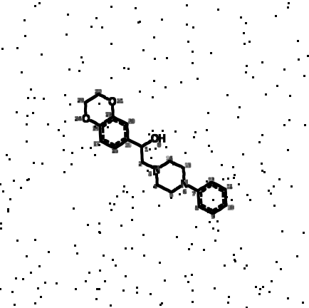 OC(CN1CCN(c2ccccc2)CC1)c1ccc2c(c1)OCCO2